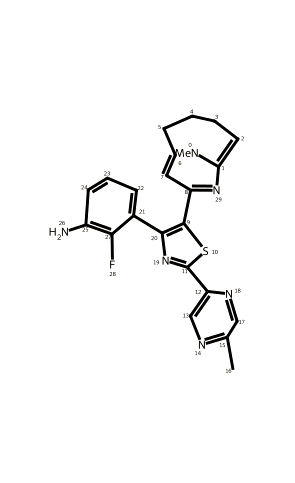 CNC1=C\CCC/C=C/C(c2sc(-c3cnc(C)cn3)nc2-c2cccc(N)c2F)=N\1